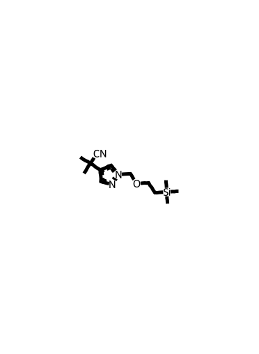 CC(C)(C#N)c1cnn(COCC[Si](C)(C)C)c1